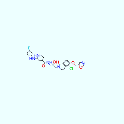 O=C(NC[C@H](O)CN1CCc2c(ccc(OCc3cnco3)c2Cl)C1)C1CCNC(NC2CCC(F)C2)C1